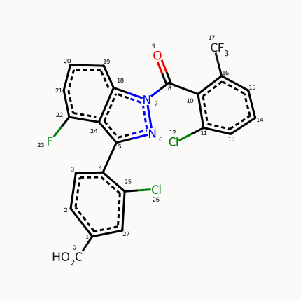 O=C(O)c1ccc(-c2nn(C(=O)c3c(Cl)cccc3C(F)(F)F)c3cccc(F)c23)c(Cl)c1